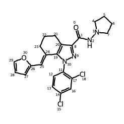 O=C(NN1CCCC1)c1nn(-c2ccc(Cl)cc2Cl)c2c1CCC/C2=C\c1ccco1